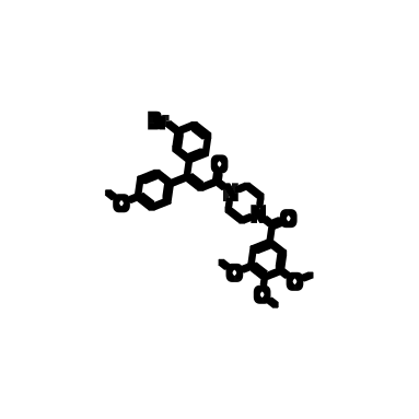 COc1ccc(C(=CC(=O)N2CCN(C(=O)c3cc(OC)c(OC)c(OC)c3)CC2)c2cccc(Br)c2)cc1